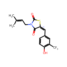 CC(C)=CCN1C(=O)S/C(=C/c2ccc(O)c(C(F)(F)F)c2)C1=O